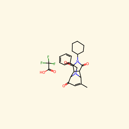 CC1=CC(=O)C2C3C(=O)N(C4CCCCC4)C(=O)C3C1N2Cc1ccccc1.O=C(O)C(F)(F)F